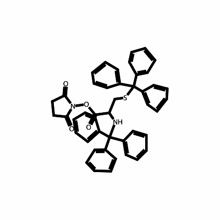 O=C(ON1C(=O)CCC1=O)C(CSC(c1ccccc1)(c1ccccc1)c1ccccc1)NC(c1ccccc1)(c1ccccc1)c1ccccc1